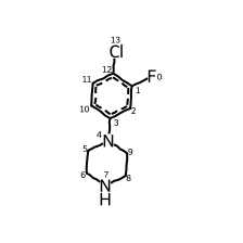 Fc1cc(N2CCNCC2)ccc1Cl